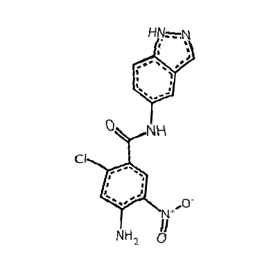 Nc1cc(Cl)c(C(=O)Nc2ccc3[nH]ncc3c2)cc1[N+](=O)[O-]